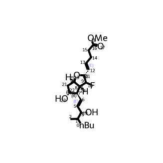 CCCCC(C)[C@@H](O)/C=C/[C@@H]1[C@H]2C(F)[C@@H](/C=C/CCC(=O)OC)O[C@@H]2C[C@H]1O